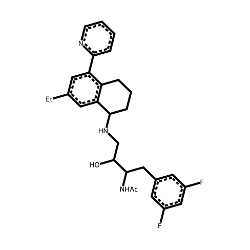 CCc1cc(-c2ccccn2)c2c(c1)C(NCC(O)C(Cc1cc(F)cc(F)c1)NC(C)=O)CCC2